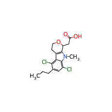 CCCc1cc(Cl)c2c(c1Cl)c1c(n2C)C(CC(=O)O)OCC1